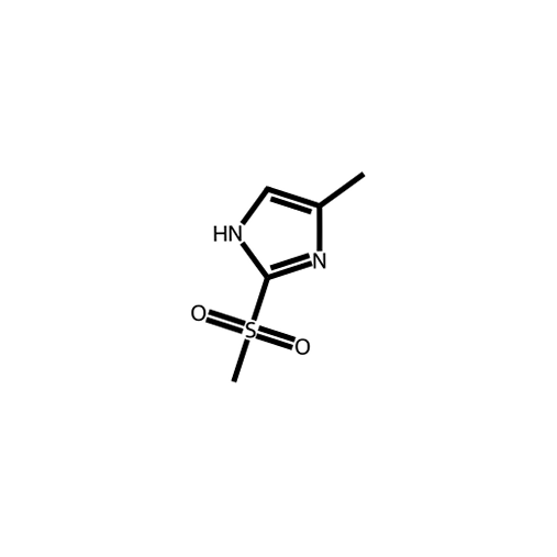 Cc1c[nH]c(S(C)(=O)=O)n1